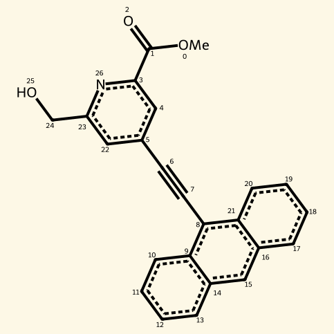 COC(=O)c1cc(C#Cc2c3ccccc3cc3ccccc23)cc(CO)n1